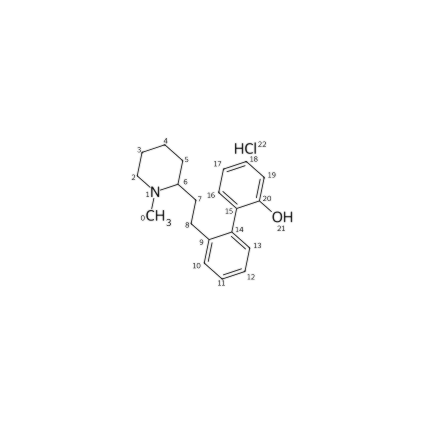 CN1CCCCC1CCc1ccccc1-c1ccccc1O.Cl